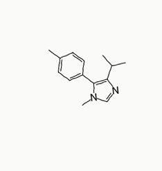 Cc1ccc(-c2c(C(C)C)ncn2C)cc1